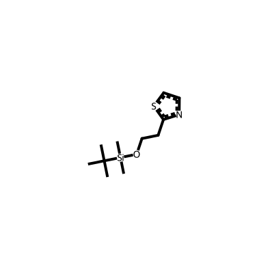 CC(C)(C)[Si](C)(C)OCCc1nccs1